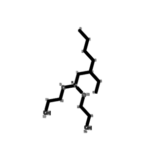 CCCCC(CC)CN(OCCO)OCCO